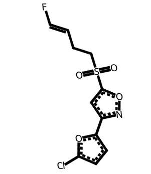 O=S(=O)(CCC=CF)c1cc(-c2ccc(Cl)o2)no1